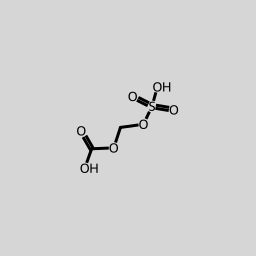 O=C(O)OCOS(=O)(=O)O